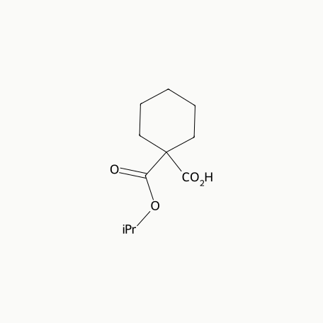 CC(C)OC(=O)C1(C(=O)O)CCCCC1